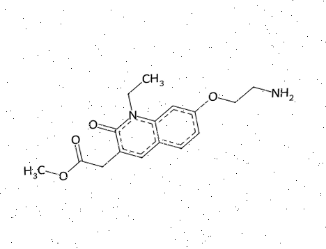 CCn1c(=O)c(CC(=O)OC)cc2ccc(OCCN)cc21